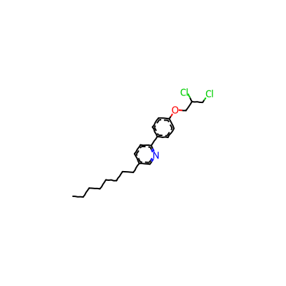 CCCCCCCCc1ccc(-c2ccc(OCC(Cl)CCl)cc2)nc1